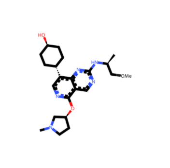 COC[C@H](C)Nc1ncc2c(O[C@H]3CCN(C)C3)ncc([C@H]3CC[C@H](O)CC3)c2n1